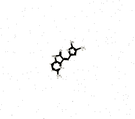 CCCc1sc(C=C2C(=O)Nc3ccc(C)nc32)cc1C